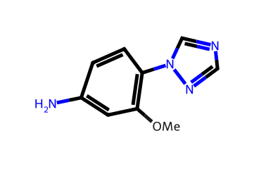 COc1cc(N)ccc1-n1cncn1